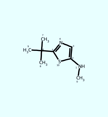 CNc1cnc(C(C)(C)C)s1